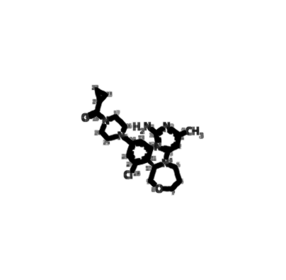 Cc1cc(N2CCCOC[C@H]2c2ccc(N3CCN(C(=O)C4CC4)CC3)cc2Cl)nc(N)n1